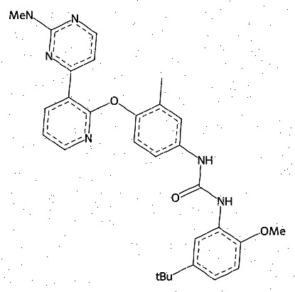 CNc1nccc(-c2cccnc2Oc2ccc(NC(=O)Nc3cc(C(C)(C)C)ccc3OC)cc2C)n1